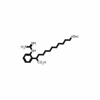 CCCCCCCCCCCCCCCCCCCCC(C(=O)O)c1ccccc1NC(=N)N